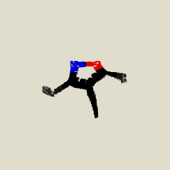 CCc1onc(C(C)(C)C)c1C